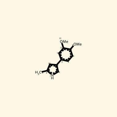 COc1ccc(-c2c[nH]c(C)c2)cc1OC